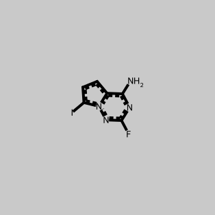 Nc1nc(F)nn2c(I)ccc12